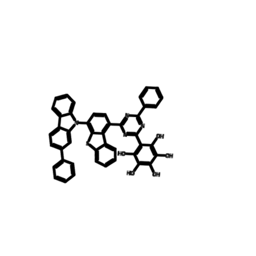 Oc1c(O)c(O)c(-c2nc(-c3ccccc3)nc(-c3ccc(-n4c5ccccc5c5ccc(-c6ccccc6)cc54)c4sc5ccccc5c34)n2)c(O)c1O